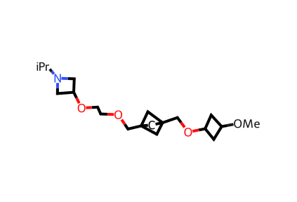 COC1CC(OCC23CC(COCCOC4CN(C(C)C)C4)(C2)C3)C1